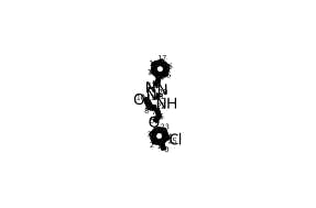 Cc1ccc(OCc2cc(=O)n3nc(-c4ccccc4)nc3[nH]2)cc1Cl